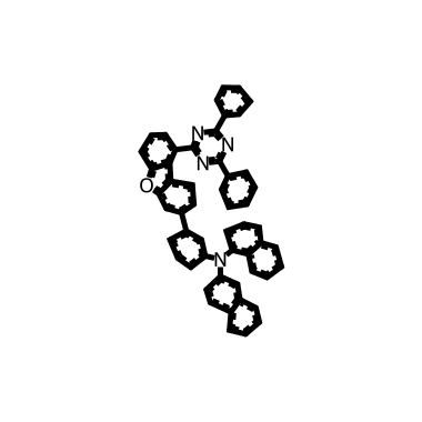 c1ccc(-c2nc(-c3ccccc3)nc(-c3cccc4oc5cc(-c6cccc(N(c7ccc8ccccc8c7)c7cccc8ccccc78)c6)ccc5c34)n2)cc1